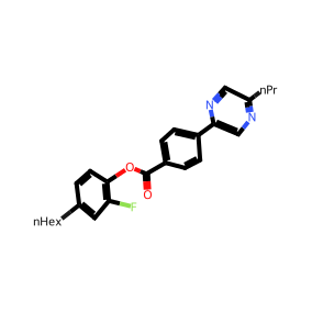 CCCCCCc1ccc(OC(=O)c2ccc(-c3cnc(CCC)cn3)cc2)c(F)c1